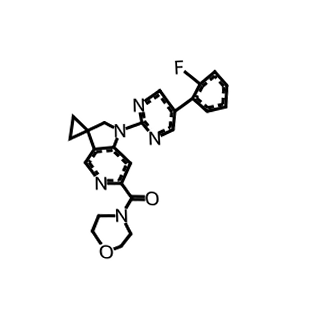 O=C(c1cc2c(cn1)C1(CC1)CN2c1ncc(-c2ccccc2F)cn1)N1CCOCC1